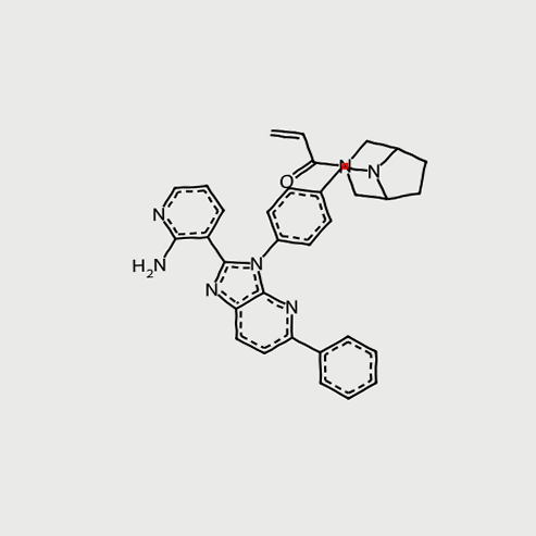 C=CC(=O)N1CC2CCC(C1)N2Cc1ccc(-n2c(-c3cccnc3N)nc3ccc(-c4ccccc4)nc32)cc1